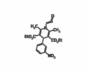 CCOC(=O)C1=C(C)N(C=S=O)C(C)=C(C(=O)OCC)C1c1cccc([N+](=O)[O-])c1